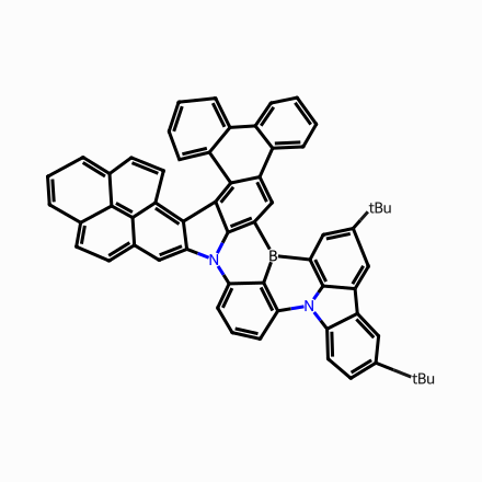 CC(C)(C)c1ccc2c(c1)c1cc(C(C)(C)C)cc3c1n2-c1cccc2c1B3c1cc3c4ccccc4c4ccccc4c3c3c4c5ccc6cccc7ccc(cc4n-2c13)c5c76